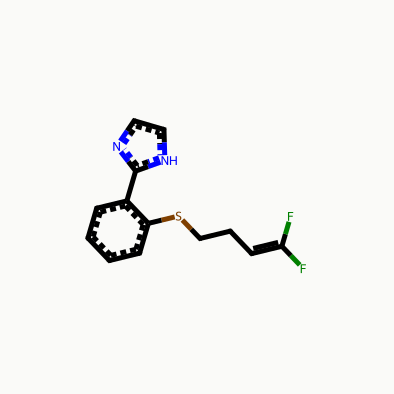 FC(F)=CCCSc1ccccc1-c1ncc[nH]1